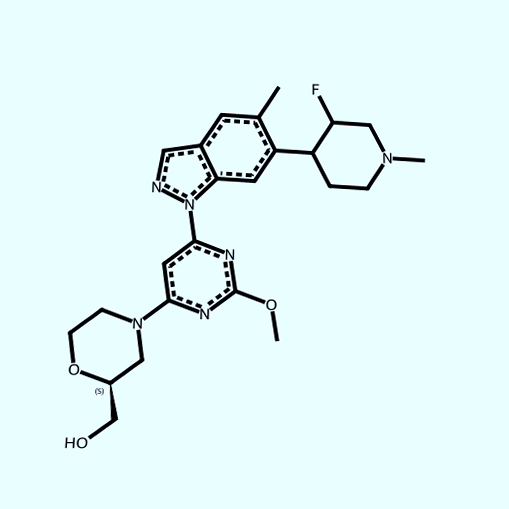 COc1nc(N2CCO[C@H](CO)C2)cc(-n2ncc3cc(C)c(C4CCN(C)CC4F)cc32)n1